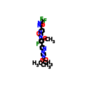 COc1cc(-c2ccc(N3CCN(C(=O)OC(C)(C)C)CC3)nc2)c(F)cc1N(C=O)Cc1ccc(-c2nnc(C(F)F)o2)cn1